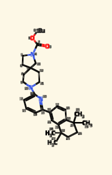 CC(C)(C)OC(=O)N1CCC2(CCN(c3cccc(-c4ccc5c(c4)C(C)(C)CCC5(C)C)n3)CC2)C1